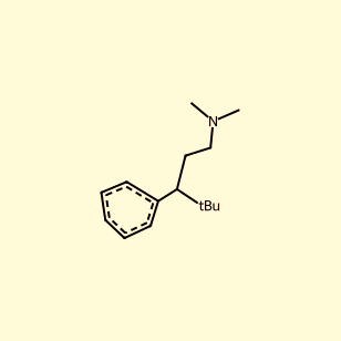 CN(C)CCC(c1ccccc1)C(C)(C)C